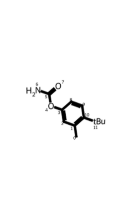 Cc1cc(OC(N)=O)ccc1C(C)(C)C